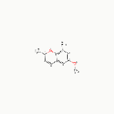 Cc1cc(OC(F)(F)F)cc2c1OC(C(F)(F)F)C=C2